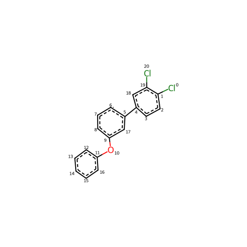 Clc1ccc(-c2[c]ccc(Oc3ccccc3)c2)cc1Cl